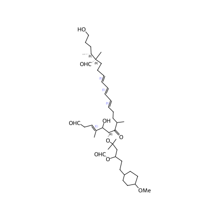 COC1CCC(CCC(CC(C)(C)O[C@@H](C(=O)C(C)CC/C=C/C=C/C=C/CC[C@@](C)(C=O)[C@H](C)CCCO)C(O)/C(C)=C/CC=O)OC=O)CC1